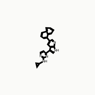 c1ccc2c(-c3cnc4[nH]cc(-c5ccnc(NC6CC6)n5)c4c3)cccc2c1